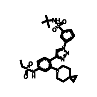 CCS(=O)(=O)Nc1ccc(-c2cn(-c3cccc(S(=O)(=O)NC(C)(C)C)c3)nn2)c(N2CCC3(CC2)CC3)c1